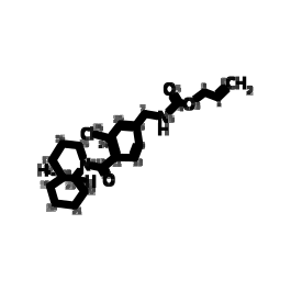 C=CCOC(=O)NCc1ccc(C(=O)N2CCC[C@@H]3CCCC[C@H]32)c(Cl)c1